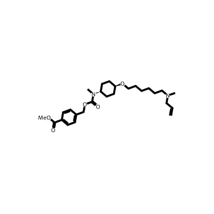 C=CCN(C)CCCCCCO[C@H]1CC[C@H](N(C)C(=O)OCc2ccc(C(=O)OC)cc2)CC1